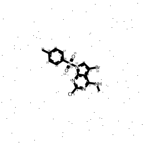 CNc1nc(Cl)nc2c1c(Br)cn2S(=O)(=O)c1ccc(C)cc1